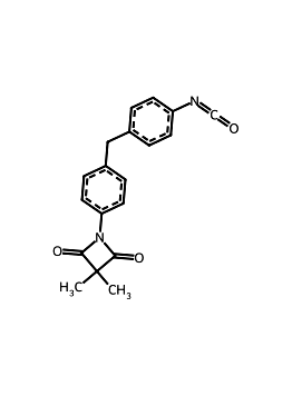 CC1(C)C(=O)N(c2ccc(Cc3ccc(N=C=O)cc3)cc2)C1=O